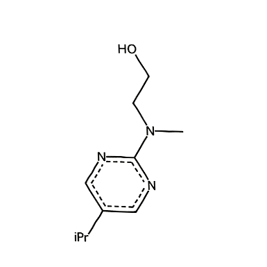 CC(C)c1cnc(N(C)CCO)nc1